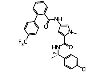 C[C@H](NC(=O)c1cc(NC(=O)c2ccccc2-c2ccc(C(F)(F)F)cc2)cn1C)c1ccc(Cl)cc1